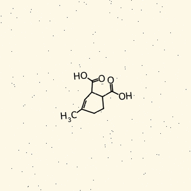 CC1=CC(C(=O)O)C(C(=O)O)CC1